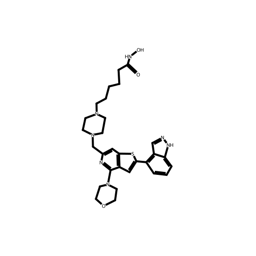 O=C(CCCCCN1CCN(Cc2cc3sc(-c4cccc5[nH]ncc45)cc3c(N3CCOCC3)n2)CC1)NO